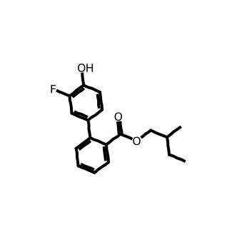 CCC(C)COC(=O)c1ccccc1-c1ccc(O)c(F)c1